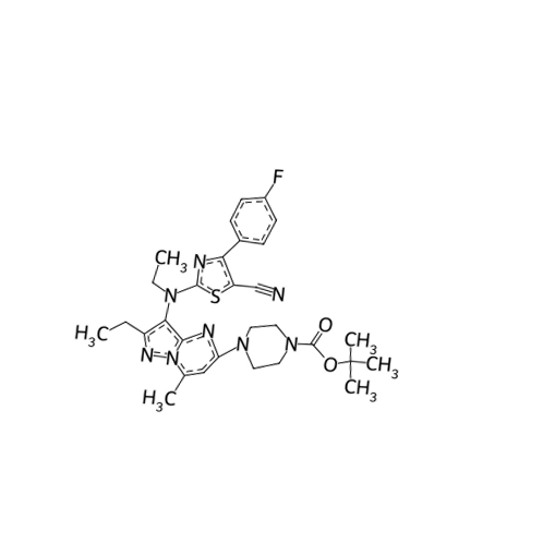 CCc1nn2c(C)cc(N3CCN(C(=O)OC(C)(C)C)CC3)nc2c1N(CC)c1nc(-c2ccc(F)cc2)c(C#N)s1